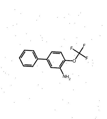 Nc1cc(-c2ccccc2)ccc1OC(F)(F)F